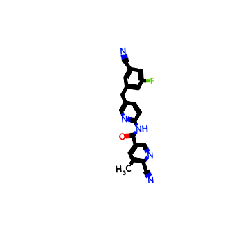 Cc1cc(C(=O)Nc2ccc(Cc3cc(F)cc(C#N)c3)cn2)cnc1C#N